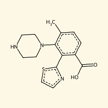 Cc1ccc(C(=O)O)c(-c2nccs2)c1N1CCNCC1